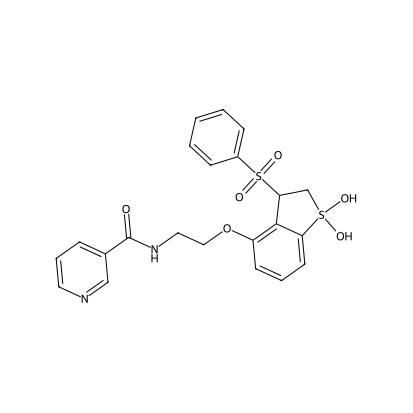 O=C(NCCOc1cccc2c1C(S(=O)(=O)c1ccccc1)CS2(O)O)c1cccnc1